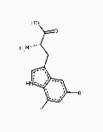 N[C@@H](Cc1c[nH]c2c(F)cc(Br)cc12)C(=O)O